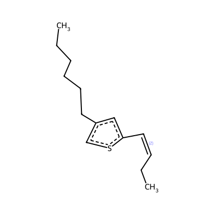 CC/C=C\c1cc(CCCCCC)cs1